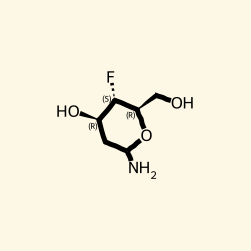 NC1C[C@@H](O)[C@H](F)[C@@H](CO)O1